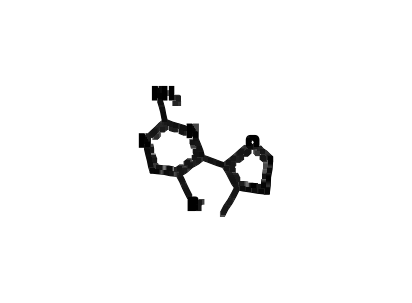 Cc1ccoc1-c1nc(N)ncc1Br